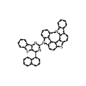 c1ccc2c(-c3nc(-n4c5ccc6sc7ccc8c9ccccc9n9c%10cccc4c%10c5c6c7c89)nc4c3sc3ccccc34)cccc2c1